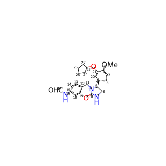 COc1ccc([C@H]2CNC(=O)N2Cc2ccc(NC=O)cc2)cc1OC1CCCC1